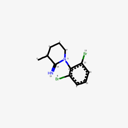 CC1CCCN(c2c(Br)cccc2Br)C1=N